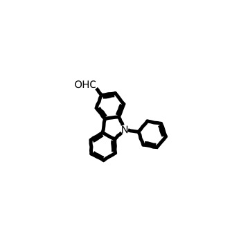 O=Cc1ccc2c(c1)c1ccccc1n2C1C=CC=CC1